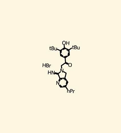 Br.CCCc1cnc2c(c1)CN(CC(=O)c1cc(C(C)(C)C)c(O)c(C(C)(C)C)c1)C2=N